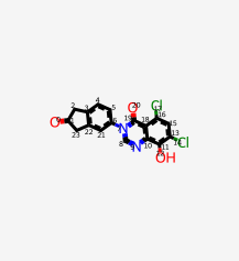 O=C1Cc2ccc(-n3cnc4c(O)c(Cl)cc(Cl)c4c3=O)cc2C1